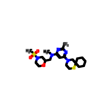 CN(CC1CN(S(C)(=O)=O)CCO1)c1cc(N2CCSC3(CCCCC3)C2)nc(C(F)(F)F)n1